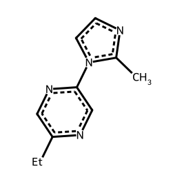 CCc1cnc(-n2ccnc2C)cn1